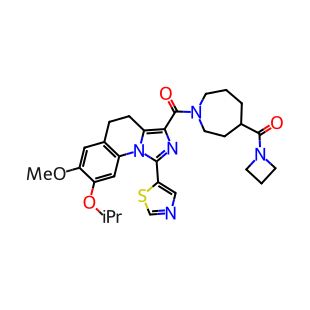 COc1cc2c(cc1OC(C)C)-n1c(-c3cncs3)nc(C(=O)N3CCCC(C(=O)N4CCC4)CC3)c1CC2